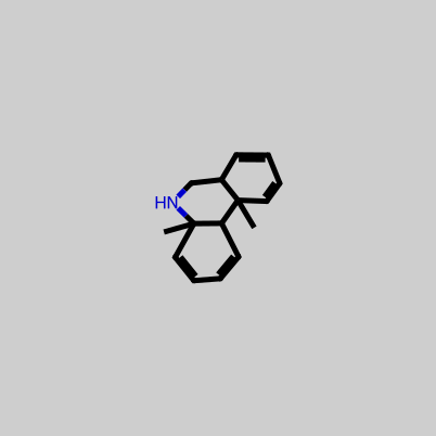 CC12C=CC=CC1C1(C)C=CC=CC1CN2